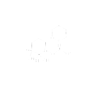 CCCC(ON1CCCC(C)(C)C1(C)C)[SiH]1CCCCO1